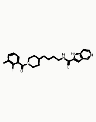 Cc1cccc(C(=O)N2CCC(CCCCNC(=O)c3cc4cnccc4[nH]3)CC2)c1F